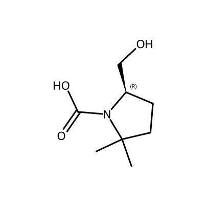 CC1(C)CC[C@H](CO)N1C(=O)O